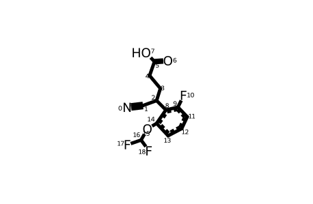 N#CC(CCC(=O)O)c1c(F)cccc1OC(F)F